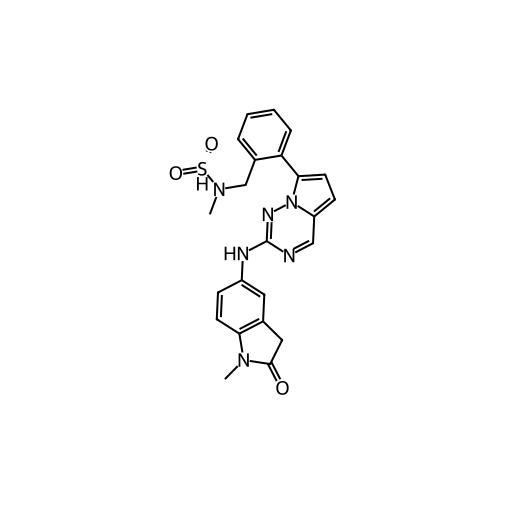 CN1C(=O)Cc2cc(Nc3ncc4ccc(-c5ccccc5CN(C)[SH](=O)=O)n4n3)ccc21